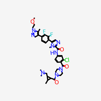 COCCn1ncc(-c2ccc(-c3cnc(C(=O)Nc4ccc(C(=O)N5CCN(C(=O)C6C(C)C6CN(C)C)CC5)c(Cl)c4)n3C)c(F)c2F)c1C